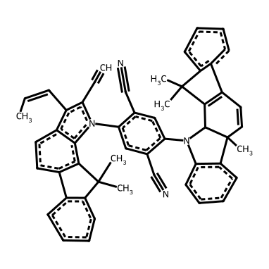 C#Cc1c(/C=C\C)c2ccc3c(c2n1-c1cc(C#N)c(N2c4ccccc4C4(C)C=CC5=C(C24)C(C)(C)c2ccccc25)cc1C#N)C(C)(C)c1ccccc1-3